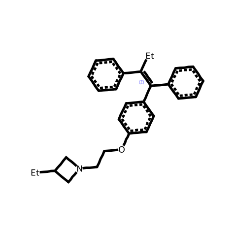 CC/C(=C(\c1ccccc1)c1ccc(OCCN2CC(CC)C2)cc1)c1ccccc1